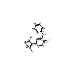 Cc1noc(C)c1-c1ccc(=O)n(Cc2ccccc2)n1